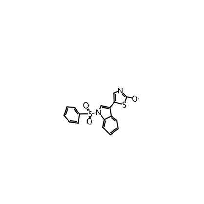 [O]c1ncc(-c2cn(S(=O)(=O)c3ccccc3)c3ccccc23)s1